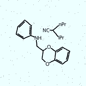 CCCC(C#N)C(C)C.c1ccc(NCC2COc3ccccc3O2)cc1